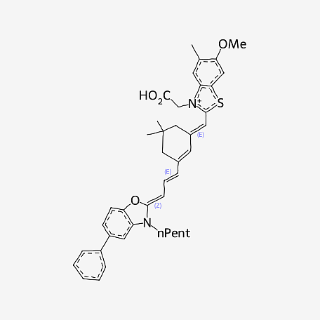 CCCCCN1/C(=C/C=C/C2=CC(=C/c3sc4cc(OC)c(C)cc4[n+]3CC(=O)O)/CC(C)(C)C2)Oc2ccc(-c3ccccc3)cc21